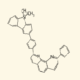 C[Si]1(C)c2ccccc2-c2cc(-c3ccc(-c4ccc5ccc6ccc(-c7ccccc7)nc6c5n4)cc3)ccc21